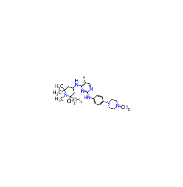 CN1CCN(c2ccc(Nc3ncc(F)c(NC4CC(C)(C)N(C)C(C)(C)C4)n3)cc2)CC1